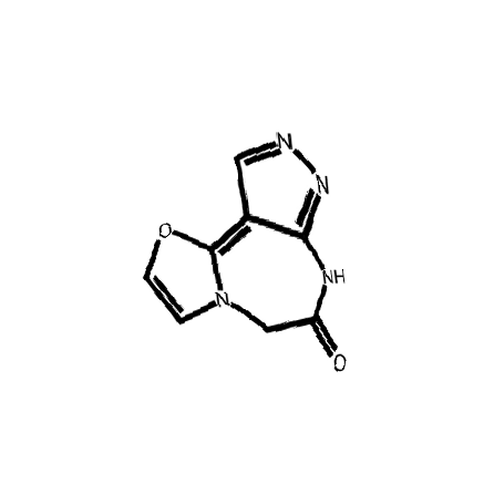 O=C1CN2C=COC2=C2C=NN=C2N1